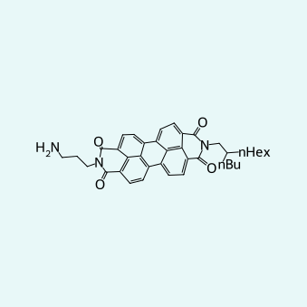 CCCCCCC(CCCC)CN1C(=O)c2ccc3c4ccc5c6c(ccc(c7ccc(c2c37)C1=O)c64)C(=O)N(CCCN)C5=O